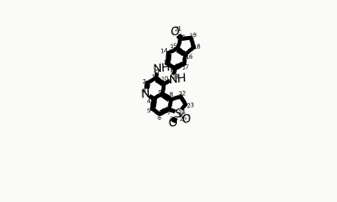 Nc1cnc2ccc3c(c2c1Nc1ccc2c(c1)CCC2=O)CCS3(=O)=O